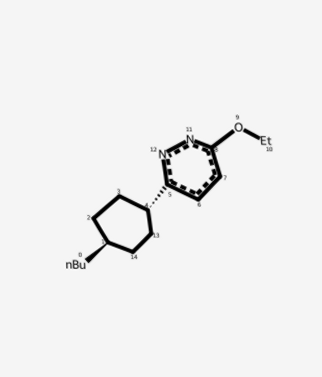 CCCC[C@H]1CC[C@H](c2ccc(OCC)nn2)CC1